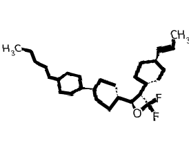 C/C=C/[C@H]1CC[C@H]([C@H]2[C@H]([C@H]3CC[C@H](C4CCC(CCCCC)CC4)CC3)OC2(F)F)CC1